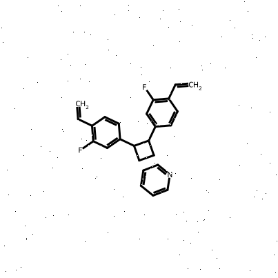 C=Cc1ccc(C2CCC2c2ccc(C=C)c(F)c2)cc1F.c1ccncc1